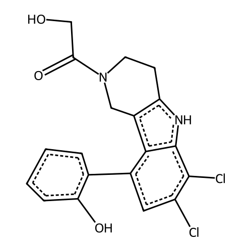 O=C(CO)N1CCc2[nH]c3c(Cl)c(Cl)cc(-c4ccccc4O)c3c2C1